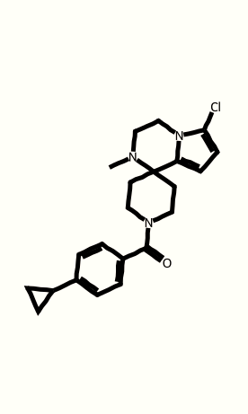 CN1CCn2c(Cl)ccc2C12CCN(C(=O)c1ccc(C3CC3)cc1)CC2